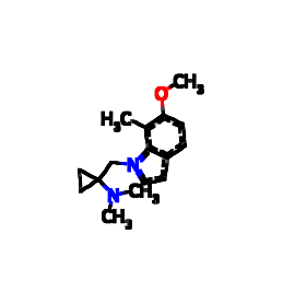 COc1ccc2ccn(CC3(N(C)C)CC3)c2c1C